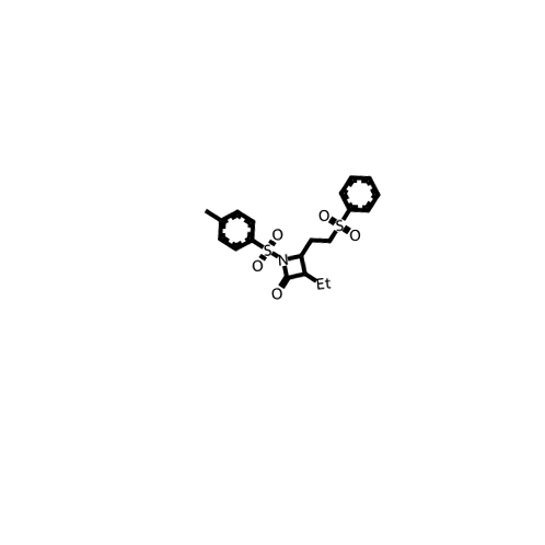 CCC1C(=O)N(S(=O)(=O)c2ccc(C)cc2)C1CCS(=O)(=O)c1ccccc1